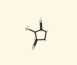 CCC1C(=O)CCC1=O